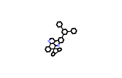 c1ccc(-c2cc(-c3ccccc3)cc(-c3ccc4nc5c6c(nccc6c4c3)-c3ccccc3C53c4ccccc4-c4ccccc43)c2)cc1